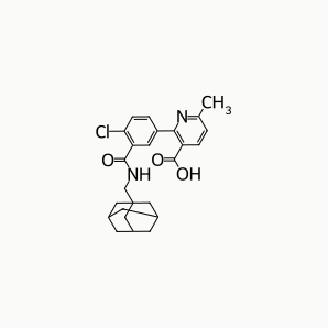 Cc1ccc(C(=O)O)c(-c2ccc(Cl)c(C(=O)NCC34CC5CC(CC(C5)C3)C4)c2)n1